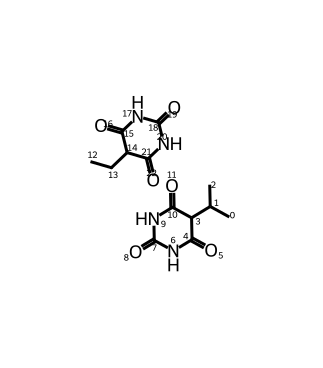 CC(C)C1C(=O)NC(=O)NC1=O.CCC1C(=O)NC(=O)NC1=O